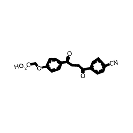 N#Cc1ccc(C(=O)CCC(=O)c2ccc(OCC(=O)O)cc2)cc1